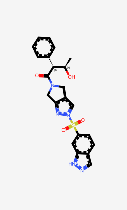 C[C@@H](O)[C@H](C(=O)N1Cc2cn(S(=O)(=O)c3ccc4cn[nH]c4c3)nc2C1)c1ccccc1